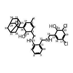 CC1=CC(CNc2ccccc2CNCC2=CC(Cl)=CC(Cl)C2O)C(O)C(C23CC4CC(CC(C4)C2)C3)=C1